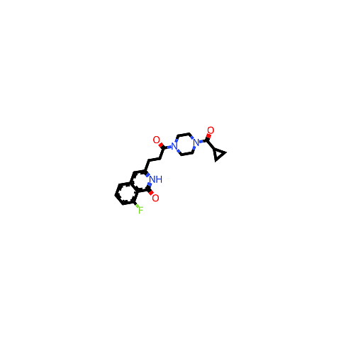 O=C(CCc1cc2cccc(F)c2c(=O)[nH]1)N1CCN(C(=O)C2CC2)CC1